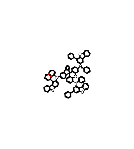 c1ccc(-c2cc(N(c3ccccc3)c3cccc4c3Oc3cc(N(c5ccccc5)c5cc(-c6ccccc6)c6oc7ccccc7c6c5)ccc3C43c4ccccc4-c4cc(N(c5ccccc5)c5ccc6sc7ccccc7c6c5-c5ccccc5)ccc43)c3c(c2)oc2ccccc23)cc1